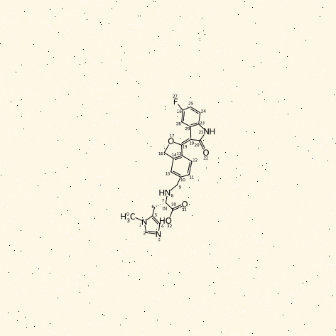 Cn1cncc1C[C@H](NCc1ccc2c(c1)COC2=C1C(=O)Nc2ccc(F)cc21)C(=O)O